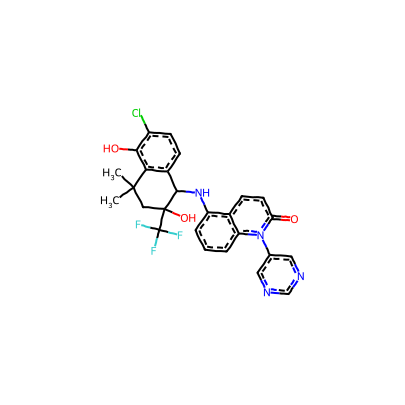 CC1(C)CC(O)(C(F)(F)F)C(Nc2cccc3c2ccc(=O)n3-c2cncnc2)c2ccc(Cl)c(O)c21